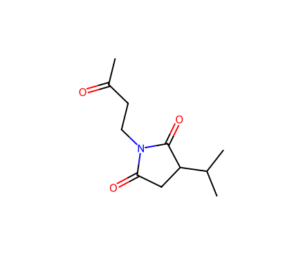 CC(=O)CCN1C(=O)CC(C(C)C)C1=O